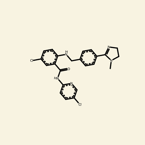 CN1CCN=C1c1ccc(CNc2ccc(Cl)cc2C(=O)Nc2ccc(Cl)cn2)cc1